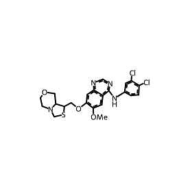 COc1cc2c(Nc3ccc(Cl)c(Cl)c3)ncnc2cc1OCC1SCN2CCOCC12